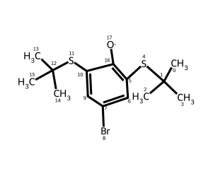 CC(C)(C)Sc1cc(Br)cc(SC(C)(C)C)c1[O]